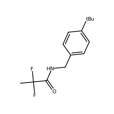 CC(F)(F)C(=O)NCc1ccc(C(C)(C)C)cc1